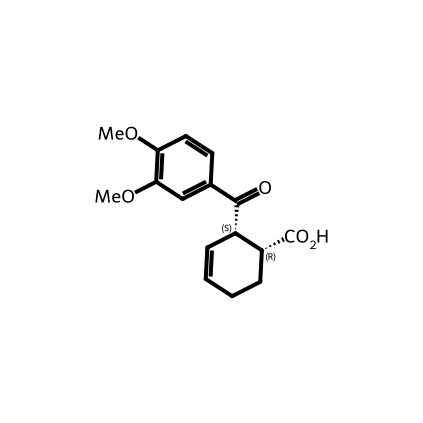 COc1ccc(C(=O)[C@H]2C=CCC[C@H]2C(=O)O)cc1OC